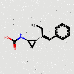 CC/C(=C\c1ccccc1)[C@@H]1C[C@H]1NC(=O)O